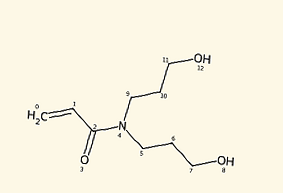 C=CC(=O)N(CCCO)CCCO